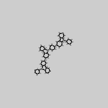 c1ccc(-n2c3ccccc3c3cc(-c4ccc5c(c4)c4ccccc4n5-c4ccc(-c5ccc6c(c5)c5ccncc5n6-c5ccccc5)cc4)ccc32)cc1